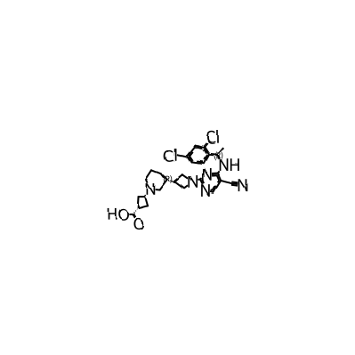 C[C@@H](Nc1nc(N2CC([C@H]3CCCN([C@H]4C[C@@H](C(=O)O)C4)C3)C2)ncc1C#N)c1ccc(Cl)cc1Cl